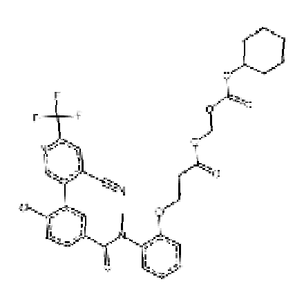 CN(C(=O)c1ccc(Cl)c(-c2cnc(C(F)(F)F)cc2C#N)c1)c1ccccc1OCCC(=O)OCOC(=O)OC1CCCCC1